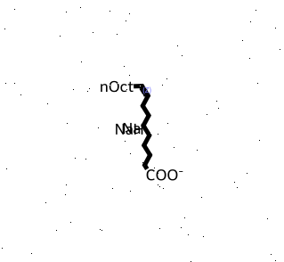 CCCCCCCC/C=C\CCCCCCCC(=O)[O-].[Na+].[NaH]